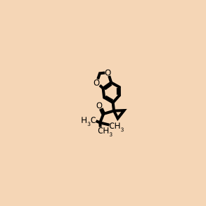 CC(C)(C)C(=O)C1(c2ccc3c(c2)OCO3)CC1